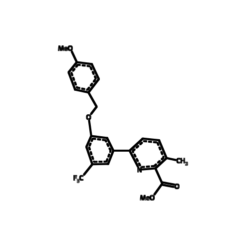 COC(=O)c1nc(-c2cc(OCc3ccc(OC)cc3)cc(C(F)(F)F)c2)ccc1C